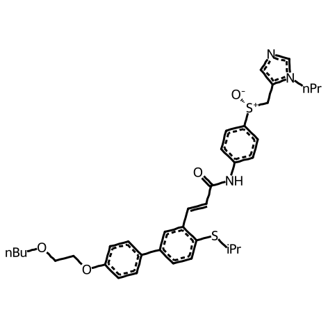 CCCCOCCOc1ccc(-c2ccc(SC(C)C)c(/C=C/C(=O)Nc3ccc([S@+]([O-])Cc4cncn4CCC)cc3)c2)cc1